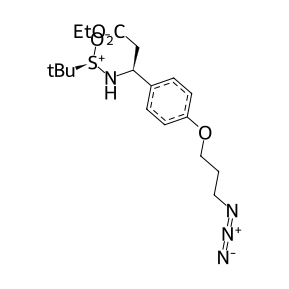 CCOC(=O)C[C@H](N[S@+]([O-])C(C)(C)C)c1ccc(OCCCN=[N+]=[N-])cc1